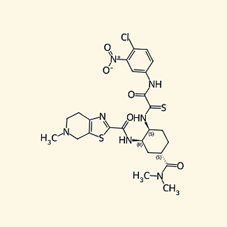 CN1CCc2nc(C(=O)N[C@@H]3C[C@@H](C(=O)N(C)C)CC[C@@H]3NC(=S)C(=O)Nc3ccc(Cl)c([N+](=O)[O-])c3)sc2C1